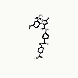 COc1ccc(-n2nc(C)cc2C(=O)Nc2ccc(C(=N)NC3CCC(C(=O)O)CC3)cc2)c(S(N)(=O)=O)c1